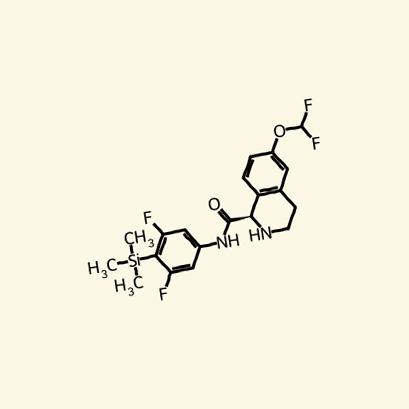 C[Si](C)(C)c1c(F)cc(NC(=O)[C@@H]2NCCc3cc(OC(F)F)ccc32)cc1F